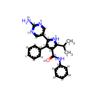 CC(C)c1[nH]c(-c2cnc(N)nc2)c(-c2ccccc2)c1C(=O)Nc1ccccc1